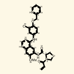 C=CC(=O)N1CSC[C@H]1C(=O)Nc1cc2c(Nc3ccc(OCc4ccccn4)c(Cl)c3)ncnc2cc1OC